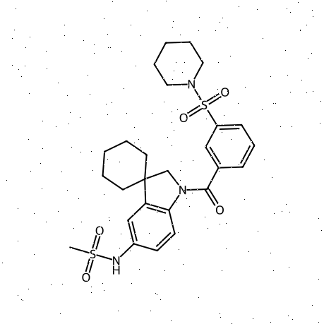 CS(=O)(=O)Nc1ccc2c(c1)C1(CCCCC1)CN2C(=O)c1cccc(S(=O)(=O)N2CCCCC2)c1